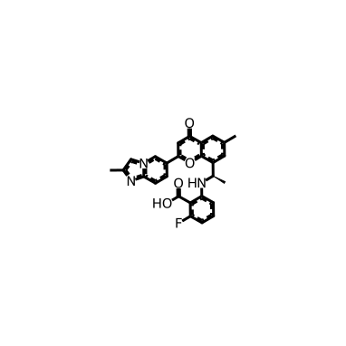 Cc1cc([C@@H](C)Nc2cccc(F)c2C(=O)O)c2oc(-c3ccc4nc(C)cn4c3)cc(=O)c2c1